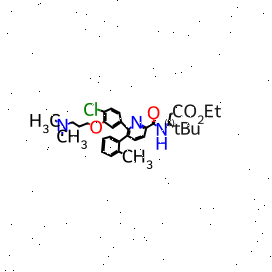 CCOC(=O)C[C@H](NC(=O)c1ccc(-c2ccccc2C)c(-c2ccc(Cl)c(OCCCN(C)C)c2)n1)C(C)(C)C